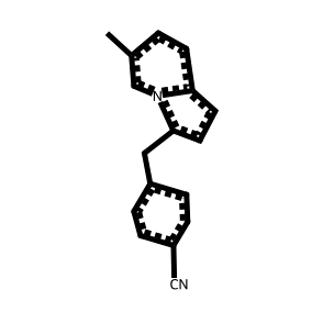 Cc1ccc2ccc(Cc3ccc(C#N)cc3)n2c1